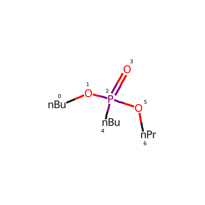 CCCCOP(=O)(CCCC)OCCC